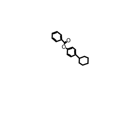 O=C(Oc1ccc(C2CCCCC2)cc1)c1ccccc1